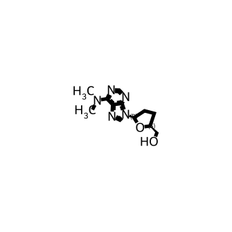 CN(C)c1ncnc2c1ncn2[C@H]1CC[C@@H](CO)O1